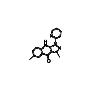 Cc1ccc2[nH]c3c(c(C)nn3-c3ccccn3)c(=O)c2c1